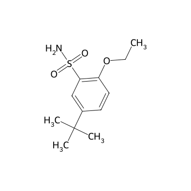 CCOc1ccc(C(C)(C)C)cc1S(N)(=O)=O